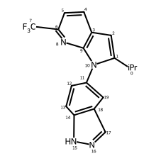 CC(C)c1cc2ccc(C(F)(F)F)nc2n1-c1ccc2[nH]ncc2c1